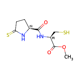 COC(=O)[C@H](CS)NC(=O)[C@@H]1CCC(=S)N1